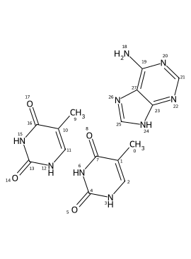 Cc1c[nH]c(=O)[nH]c1=O.Cc1c[nH]c(=O)[nH]c1=O.Nc1ncnc2[nH]cnc12